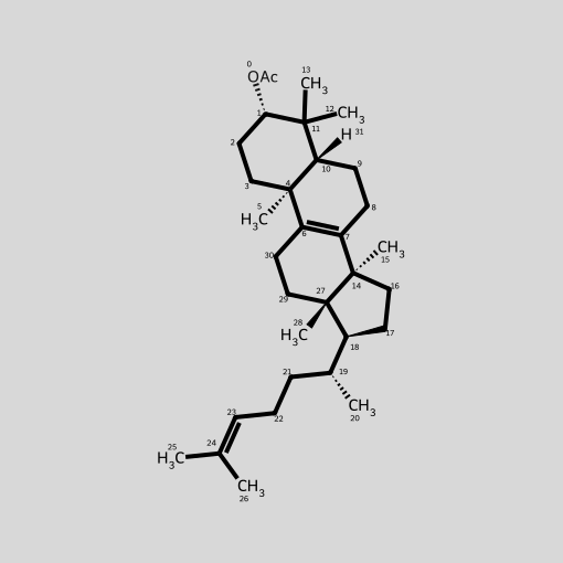 CC(=O)O[C@H]1CC[C@]2(C)C3=C(CC[C@H]2C1(C)C)[C@@]1(C)CC[C@@H]([C@H](C)CCC=C(C)C)[C@]1(C)CC3